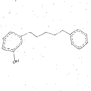 Oc1cccc(CCCCCc2ccccc2)c1